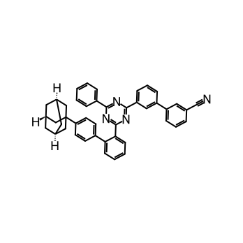 N#Cc1cccc(-c2cccc(-c3nc(-c4ccccc4)nc(-c4ccccc4-c4ccc(C56C[C@H]7C[C@@H](C5)C[C@@H](C6)C7)cc4)n3)c2)c1